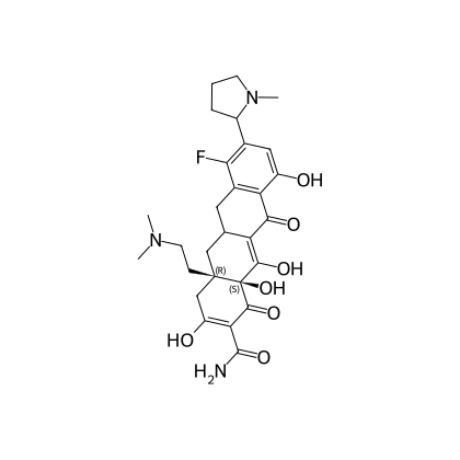 CN(C)CC[C@]12CC(O)=C(C(N)=O)C(=O)[C@@]1(O)C(O)=C1C(=O)c3c(O)cc(C4CCCN4C)c(F)c3CC1C2